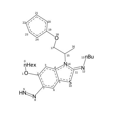 CCCCCCOc1cc2c(cc1N=N)s/c(=N/CCCC)n2C(C)COc1ccccc1